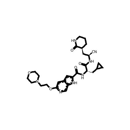 N#C[C@H](C[C@@H]1CCCNC1=O)NC(=O)[C@H](CC1CC1)NC(=O)c1cc2cc(OCCN3CCOCC3)ncc2[nH]1